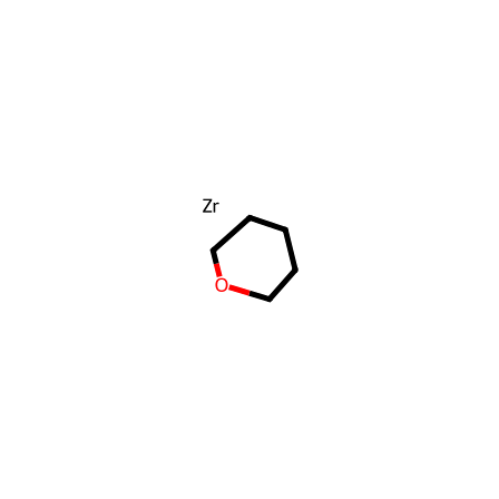 C1CCOCC1.[Zr]